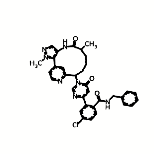 CC1CCCC(n2cnc(-c3cc(Cl)ccc3C(=O)NCc3ccccc3)cc2=O)c2cc(ccn2)-c2c(cnn2C)NC1=O